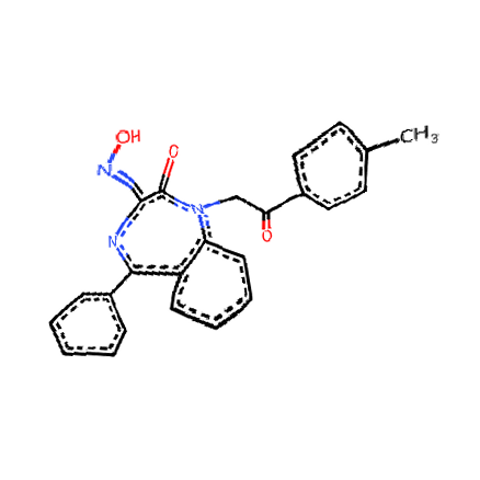 Cc1ccc(C(=O)Cn2c(=O)c(=NO)nc(-c3ccccc3)c3ccccc32)cc1